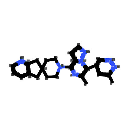 Cc1cc(-c2c(C)nc(N3CCC4(CC3)Cc3cccnc3C4)c3ccnn23)cnn1